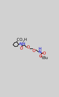 CC(C)(C)OC(=O)NCCOCCOCCC(=O)NC1CCCCC1C(=O)O